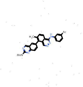 CNc1ncc2cc(-c3c(C)ccc4c(Nc5cccc(C(C)=O)c5)nncc34)ccc2n1